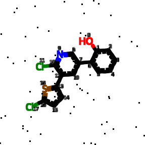 Oc1ccccc1-c1cnc(Cl)c(-c2ccc(Cl)s2)c1